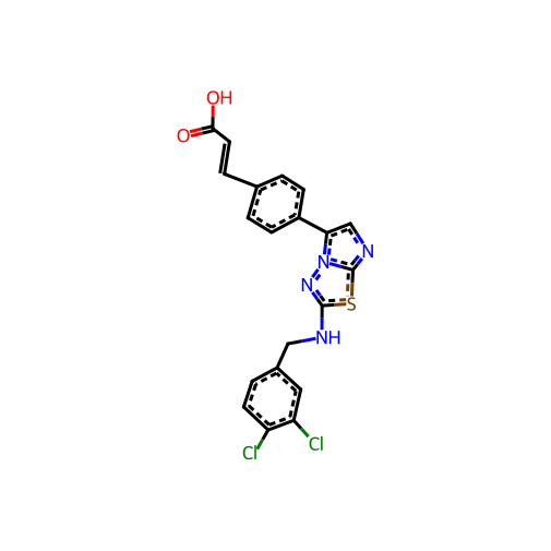 O=C(O)/C=C/c1ccc(-c2cnc3sc(NCc4ccc(Cl)c(Cl)c4)nn23)cc1